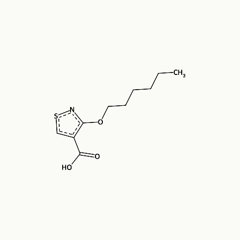 CCCCCCOc1nscc1C(=O)O